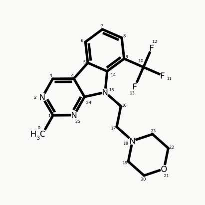 Cc1ncc2c3cccc(C(F)(F)F)c3n(CCN3CCOCC3)c2n1